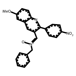 COc1ccc2nc(-c3ccc([N+](=O)[O-])cc3)c(/C=[N+](\[O-])Cc3ccccc3)cc2c1